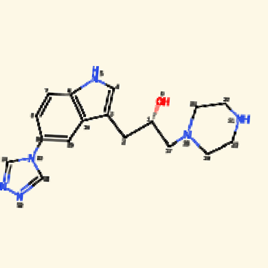 O[C@@H](Cc1c[nH]c2ccc(-n3cnnc3)cc12)CN1CCNCC1